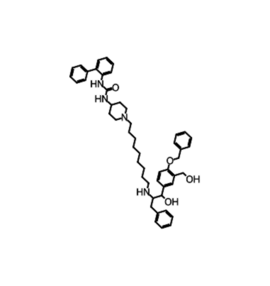 O=C(Nc1ccccc1-c1ccccc1)NC1CCN(CCCCCCCCCNC(Cc2ccccc2)C(O)c2ccc(OCc3ccccc3)c(CO)c2)CC1